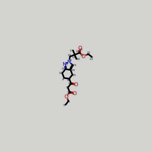 CCOC(=O)CC(=O)C1CCc2nn(CC(C)(C)C(=O)OCC)cc2C1